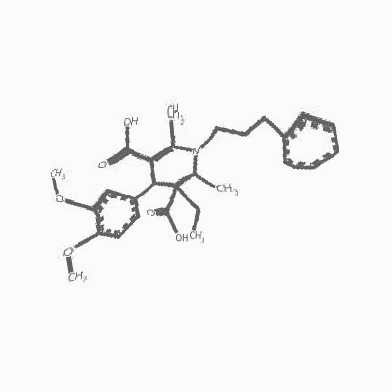 CCC1(C(=O)O)C(c2ccc(OC)c(OC)c2)C(C(=O)O)=C(C)N(CCCc2ccccc2)C1C